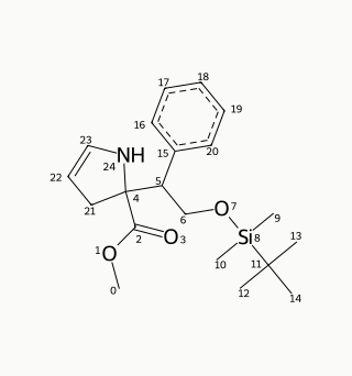 COC(=O)C1(C(CO[Si](C)(C)C(C)(C)C)c2ccccc2)CC=CN1